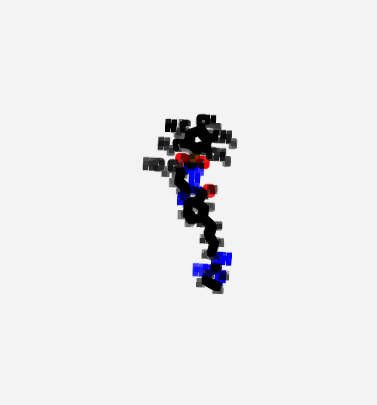 Cc1c(C)c(C)c(S(=O)(=O)N[C@@H](Cc2nc3ccc(C=CCCNC4=NCCN4)cc3c(=O)[nH]2)C(=O)O)c(C)c1C